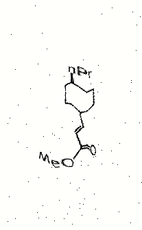 CCCC1CCC(/C=C/C(=O)OC)CC1